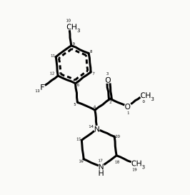 COC(=O)C(Cc1ccc(C)cc1F)N1CCNC(C)C1